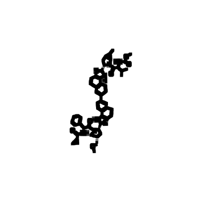 COC[C@H]1C[C@@H](c2nc3ccc4cc(-c5ccc6c(ccc7nc([C@@H]8CC9C(C)C9N8C(=O)C(NC(=O)OC)C(C)C)[nH]c76)c5)ccc4c3[nH]2)N(C(=O)[C@H](NC(=O)C2CC2)c2ccccc2)C1